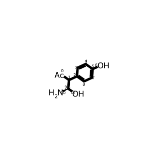 CC(=O)C(c1ccc(O)cc1)[C@H](N)O